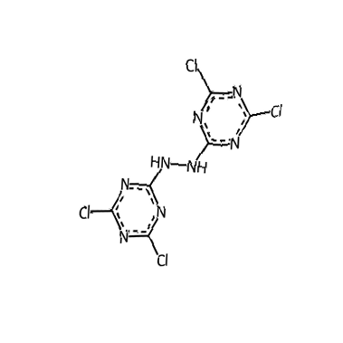 Clc1nc(Cl)nc(NNc2nc(Cl)nc(Cl)n2)n1